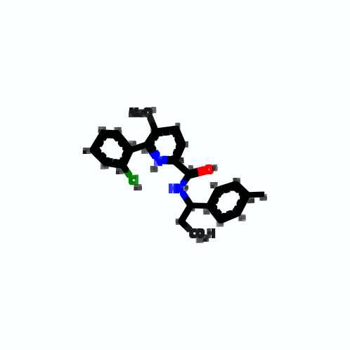 COc1ccc(C(=O)NC(CC(=O)O)c2ccc(C)cc2)nc1-c1ccccc1Cl